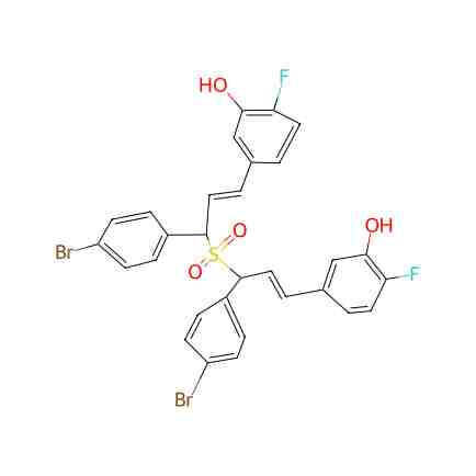 O=S(=O)(C(C=Cc1ccc(F)c(O)c1)c1ccc(Br)cc1)C(C=Cc1ccc(F)c(O)c1)c1ccc(Br)cc1